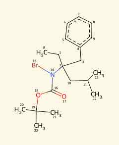 CCC(Cc1ccccc1)(CC(C)C)N(Br)C(=O)OC(C)(C)C